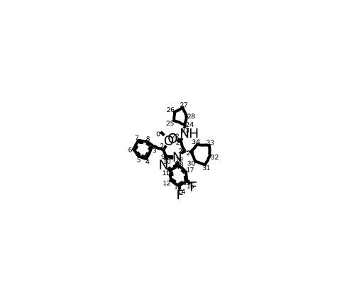 COC(c1ccccc1)c1nc2cc(F)c(F)cc2n1[C@H](C(=O)NC1CCCC1)C1CCCCC1